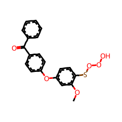 COc1cc(Oc2ccc(C(=O)c3ccccc3)cc2)ccc1SOOO